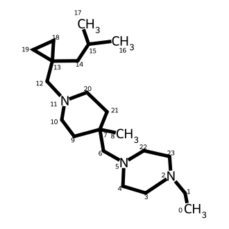 CCN1CCN(CC2(C)CCN(CC3(CC(C)C)CC3)CC2)CC1